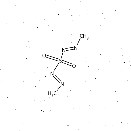 CN=NS(=O)(=O)N=NC